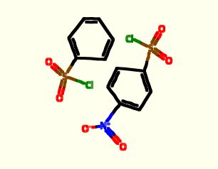 O=S(=O)(Cl)c1ccccc1.O=[N+]([O-])c1ccc(S(=O)(=O)Cl)cc1